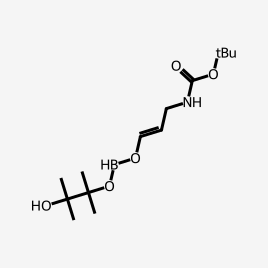 CC(C)(C)OC(=O)NCC=COBOC(C)(C)C(C)(C)O